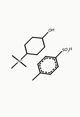 C[N+](C)(C)C1CCC(O)CC1.Cc1ccc(S(=O)(=O)O)cc1